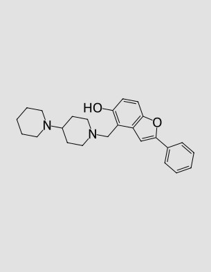 Oc1ccc2oc(-c3ccccc3)cc2c1CN1CCC(N2CCCCC2)CC1